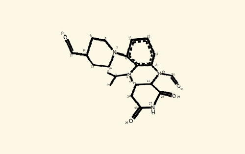 CC(C)N(C)c1c(N2CCC(C=O)CC2)cccc1N(C=O)C1CCC(=O)NC1=O